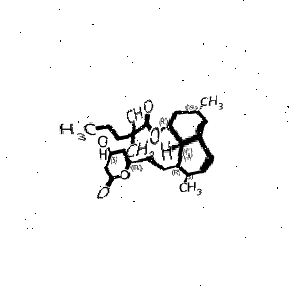 CCCC(C)(C)C(=O)O[C@@H]1C[C@H](C)C=C2C=C[C@@H](C)[C@@H](CC[C@@H]3C[C@H](O)CC(=O)O3)[C@@H]21